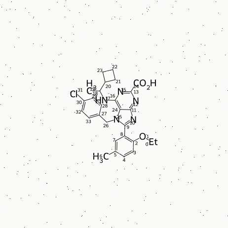 CCOc1ccc(C)cc1-c1nc2nc(C(=O)O)nc(NC(C)C3CCC3)c2n1Cc1ccc(Cl)cc1